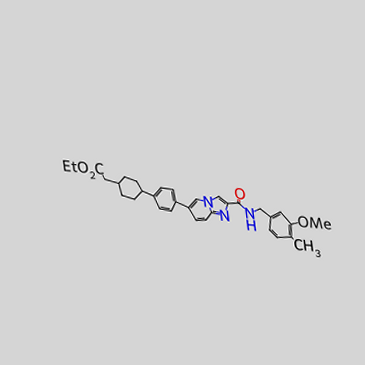 CCOC(=O)CC1CCC(c2ccc(-c3ccc4nc(C(=O)NCc5ccc(C)c(OC)c5)cn4c3)cc2)CC1